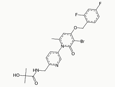 Cc1cc(OCc2ccc(F)cc2F)c(Br)c(=O)n1-c1ccc(CNC(=O)C(C)(C)O)nc1